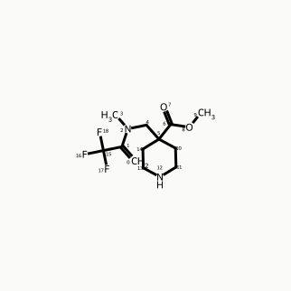 C=C(N(C)CC1(C(=O)OC)CCNCC1)C(F)(F)F